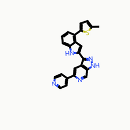 Cc1ccc(-c2cccc3[nH]c(-c4n[nH]c5cnc(-c6ccncc6)cc45)cc23)s1